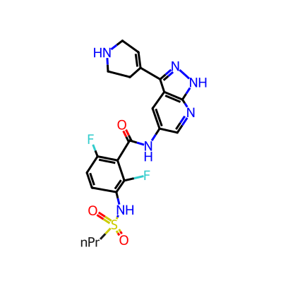 CCCS(=O)(=O)Nc1ccc(F)c(C(=O)Nc2cnc3[nH]nc(C4=CCNCC4)c3c2)c1F